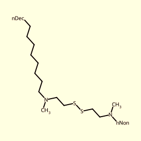 CCCCCCCCCCCCCCCCCCN(C)CCSSCCN(C)CCCCCCCCC